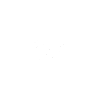 CC(C)C(c1ccccc1)c1cccc(OC(F)(F)F)c1